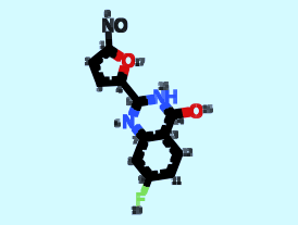 O=Nc1ccc(-c2nc3cc(F)ccc3c(=O)[nH]2)o1